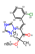 CCCCOC(C)(C)C(=O)C(=Cc1ccccc1Cl)n1cncn1